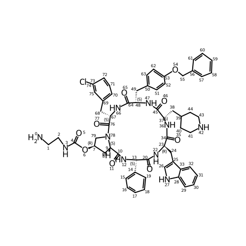 NCCNC(=O)O[C@@H]1C[C@H]2C(=O)N[C@@H](c3ccccc3)C(=O)N[C@H](Cc3c[nH]c4ccccc34)C(=O)N[C@@H](CC3CCNCC3)C(=O)N[C@@H](Cc3ccc(OCc4ccccc4)cc3)C(=O)N[C@@H](Cc3cccc(Cl)c3)C(=O)N2C1